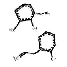 C=CCc1ccccc1O.CC(C)(C)c1cccc(C(C)(C)C)c1O